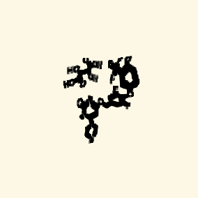 CN1CCN(c2cc(OCc3cc(F)c(Oc4ccc(Cl)c(C(F)(F)F)c4)c(F)c3)nc(=O)n2C)CC1.O=C(O)C(O)C(O)C(=O)O